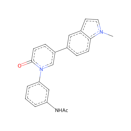 CC(=O)Nc1cccc(-n2cc(-c3ccc4c(ccn4C)c3)ccc2=O)c1